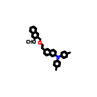 Cc1ccc(N(c2ccc(C)cc2)c2ccc3cc(C=COCc4cc5ccccc5cc4C=O)ccc3c2)cc1